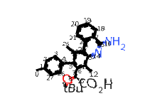 Cc1ccc(-c2c([C@H](OC(C)(C)C)C(=O)O)c(C)c3nc(N)c4ccccc4c3c2C)cc1